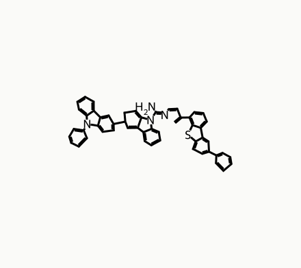 C=C(/C=C\N=C(/N)n1c2c(c3ccccc31)=CC(c1ccc3c(c1)c1ccccc1n3-c1ccccc1)CC=2)c1cccc2c1sc1ccc(-c3ccccc3)cc12